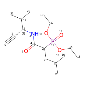 C#C[C@@H](NC(=O)C(CC(C)C)P(=O)(OCC)OCC)C(C)C